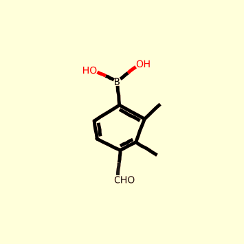 Cc1c(C=O)ccc(B(O)O)c1C